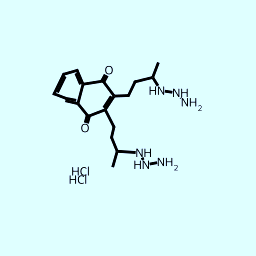 CC(CCC1=C(CCC(C)NNN)C(=O)c2ccccc2C1=O)NNN.Cl.Cl